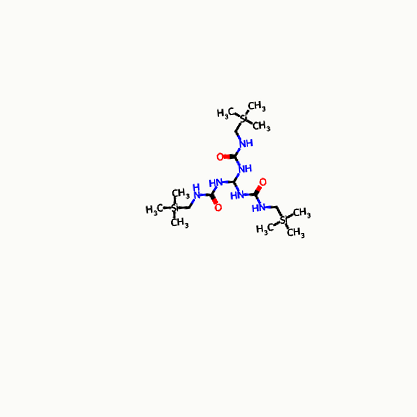 C[Si](C)(C)CNC(=O)NC(NC(=O)NC[Si](C)(C)C)NC(=O)NC[Si](C)(C)C